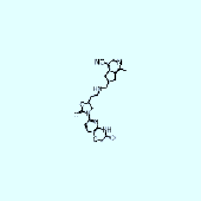 Cc1ncc(C#N)c2c1CC(CNCCC1CN(c3ccc4c(n3)NC(=O)CO4)C(=O)O1)C2